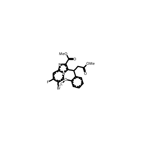 COC(=O)CC(c1ccccc1OC(F)(F)F)c1c(C(=O)OC)nc2cc(F)c(Br)cn12